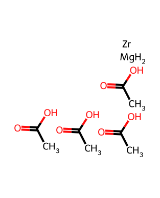 CC(=O)O.CC(=O)O.CC(=O)O.CC(=O)O.[MgH2].[Zr]